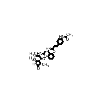 CC(=O)Nc1ccc(/C=C/C(=O)N[C@@H](CC(=O)N[C@H](C(=O)[C@@H]2C(=O)NC(=O)[C@H]2C)C(C)C)c2ccccc2)cc1